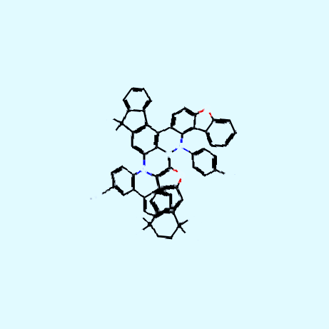 CCCCc1ccc(N2B3c4oc5cc6c(cc5c4N(c4ccc(CCCC)cc4-c4ccccc4)c4cc5c(c(c43)-c3ccc4oc7ccccc7c4c32)-c2ccccc2C5(C)C)C(C)(C)CCC6(C)C)cc1